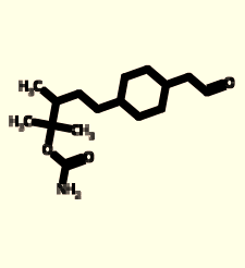 CC(CCC1CCC(CC=O)CC1)C(C)(C)OC(N)=O